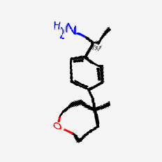 C[C@H](N)c1ccc(C2(C)CCOC2)cc1